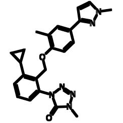 Cc1cc(-c2ccn(C)n2)ccc1OCc1c(C2CC2)cccc1-n1nnn(C)c1=O